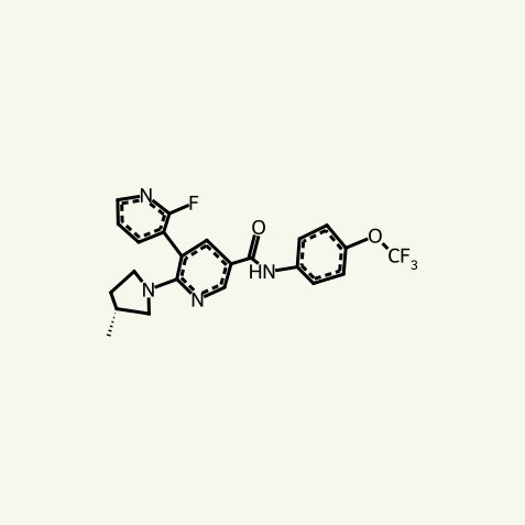 C[C@@H]1CCN(c2ncc(C(=O)Nc3ccc(OC(F)(F)F)cc3)cc2-c2cccnc2F)C1